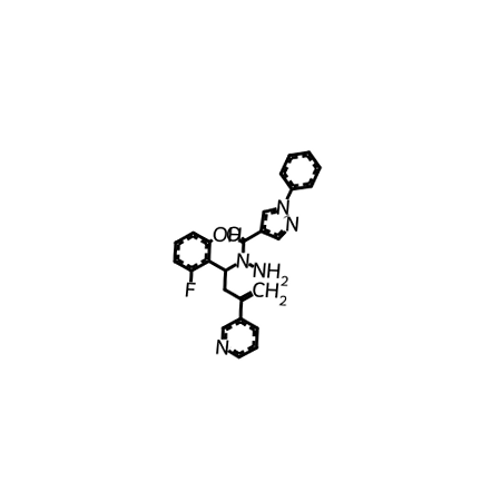 C=C(CC(c1c(O)cccc1F)N(N)C(=O)c1cnn(-c2ccccc2)c1)c1cccnc1